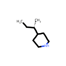 CC[C@H](C)C1CCNCC1